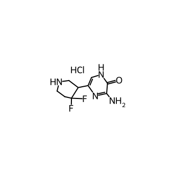 Cl.Nc1nc(C2CNCCC2(F)F)c[nH]c1=O